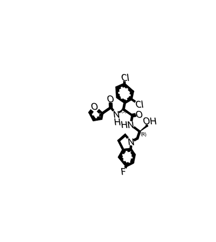 O=C(N[C@H](C(=O)N[C@@H](CO)CN1CCc2cc(F)ccc21)c1ccc(Cl)cc1Cl)c1ccco1